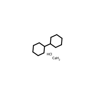 C1CCC(C2CCCCC2)CC1.Cl.[CaH2]